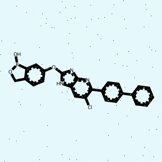 OB1OCc2ccc(Oc3nc4nc(-c5ccc(-c6ccccc6)cc5)c(Cl)cc4[nH]3)cc21